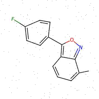 Cc1cccc2c(-c3ccc(F)cc3)onc12